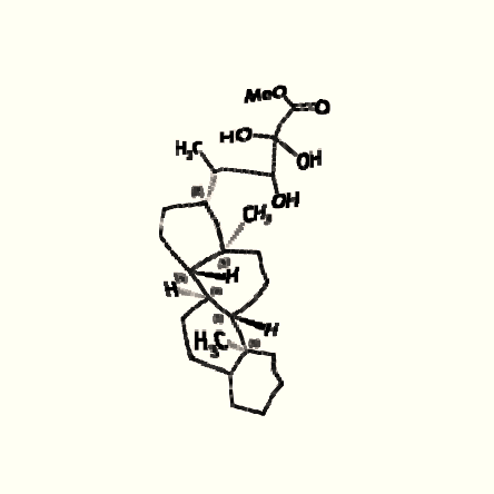 COC(=O)C(O)(O)C(O)C(C)[C@H]1CC[C@H]2[C@@H]3CCC4CCCC[C@]4(C)[C@H]3CC[C@]12C